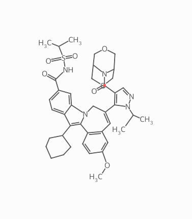 COc1ccc2c(c1)C=C(c1c(C(=O)N3C4COCC3COC4)cnn1C(C)C)Cn1c-2c(C2CCCCC2)c2ccc(C(=O)NS(=O)(=O)C(C)C)cc21